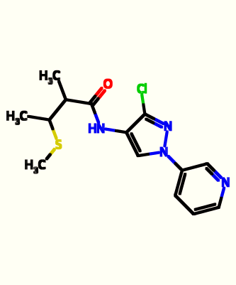 CSC(C)C(C)C(=O)Nc1cn(-c2cccnc2)nc1Cl